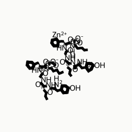 CCCCC(NC(=O)[C@H](Cc1ccccc1)NC(=O)CNC(=O)[C@@H](CCCC)NC(=O)[C@@H](N)Cc1ccc(O)cc1)S(=O)(=O)[O-].CCCCC(NC(=O)[C@H](Cc1ccccc1)NC(=O)CNC(=O)[C@@H](CCCC)NC(=O)[C@@H](N)Cc1ccc(O)cc1)S(=O)(=O)[O-].[Zn+2]